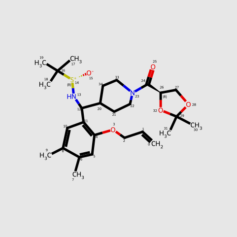 C=CCOc1cc(C)c(C)cc1C(N[S@@+]([O-])C(C)(C)C)C1CCN(C(=O)[C@H]2COC(C)(C)O2)CC1